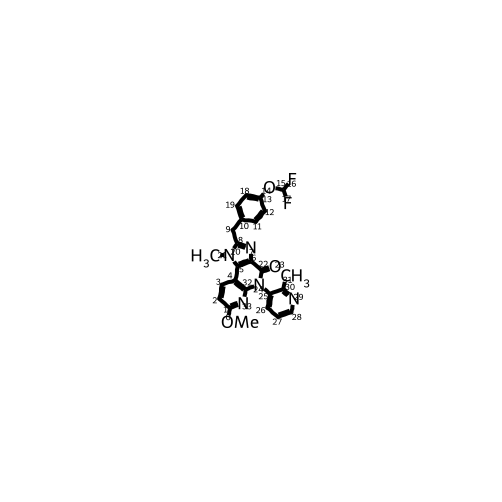 COc1ccc2c3c(nc(Cc4ccc(OC(F)F)cc4)n3C)c(=O)n(-c3cccnc3C)c2n1